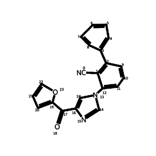 N#Cc1c(-c2ccccc2)cccc1-n1cnc(C(=O)c2ccco2)c1